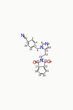 N#Cc1ccc(Cn2cncc2CCN2C(=O)c3ccccc3C2=O)cc1